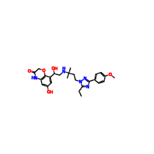 CCc1nc(-c2ccc(OC)cc2)nn1CCC(C)(C)NCC(O)c1cc(O)cc2c1OCC(=O)N2